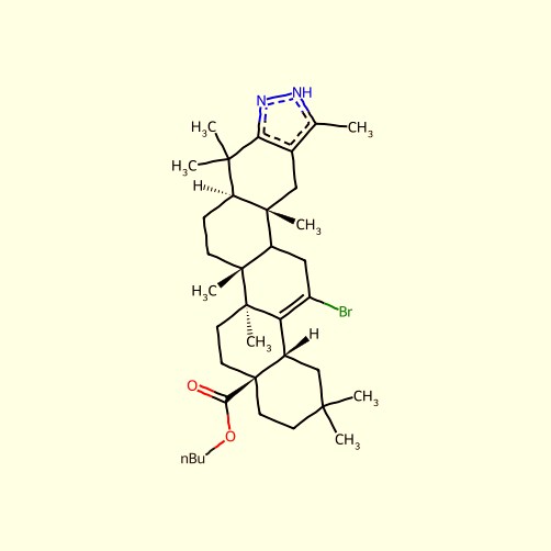 CCCCOC(=O)[C@]12CCC(C)(C)C[C@H]1C1=C(Br)CC3[C@@]4(C)Cc5c(n[nH]c5C)C(C)(C)[C@@H]4CC[C@@]3(C)[C@]1(C)CC2